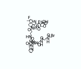 CC[C@@]1(O)C(=O)OCc2c1cc1n(c2=O)Cc2c-1nc1cc(F)c(C)c3c1c2[C@@H](NC(=O)CCCNC(=O)CNC(=O)[C@H](Cc1ccccc1)NC(=O)CNC(=O)CNC(=O)CCNC(=O)CBr)CC3